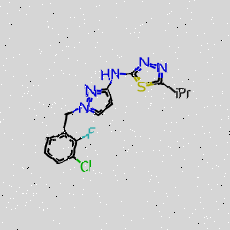 CC(C)c1nnc(Nc2ccn(Cc3cccc(Cl)c3F)n2)s1